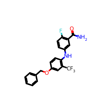 NC(=O)c1cc(Nc2ccc(OCc3ccccc3)cc2C(F)(F)F)ccc1F